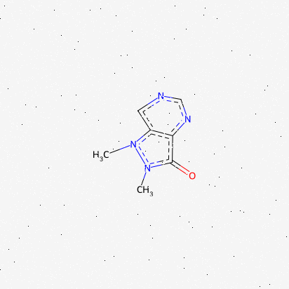 Cn1c(=O)c2ncncc2n1C